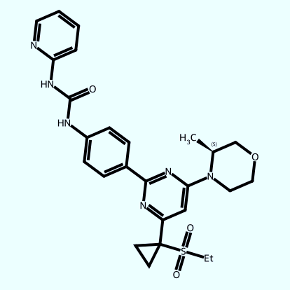 CCS(=O)(=O)C1(c2cc(N3CCOC[C@@H]3C)nc(-c3ccc(NC(=O)Nc4ccccn4)cc3)n2)CC1